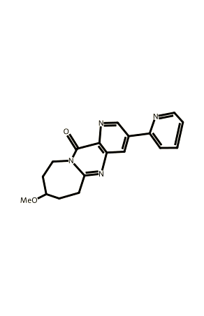 COC1CCc2nc3cc(-c4ccccn4)cnc3c(=O)n2CC1